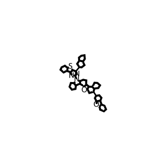 c1ccc2cc(-c3nc(-n4c5ccccc5c5c6oc7cc(-c8ccc9c(c8)oc8ccccc89)c8ccccc8c7c6ccc54)nc4c3sc3ccccc34)ccc2c1